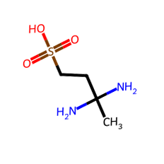 CC(N)(N)CCS(=O)(=O)O